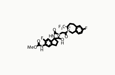 COC(=O)Nc1cc2c(cc1F)C1(CC2)NC(=O)N(CC(=O)N2Cc3ccc(F)cc3CC[C@H]2C(F)(F)F)C1O